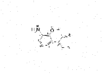 C=C/C(=C\C)c1cccc(N)c1OC